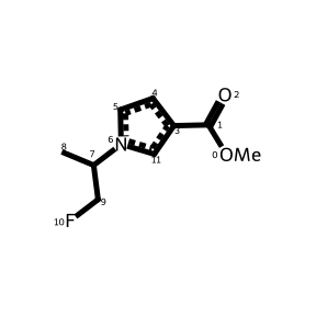 COC(=O)c1ccn(C(C)CF)c1